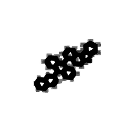 c1ccc2cc(-c3c4ccccc4c(-c4cccc5c4ccc4sc6ccccc6c45)c4ccccc34)ccc2c1